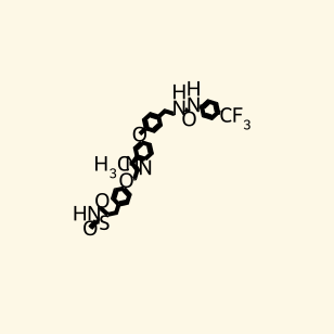 Cn1c(COc2ccc(CC3SC(=O)NC3=O)cc2)nc2ccc(Oc3ccc(CCNC(=O)Nc4ccc(C(F)(F)F)cc4)cc3)cc21